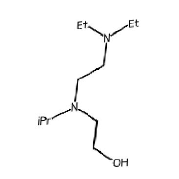 CCN(CC)CCN(CCO)C(C)C